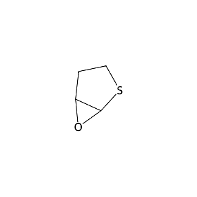 C1CC2OC2S1